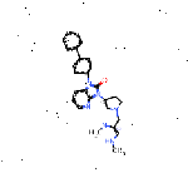 C=N/C(=C\NC)CN1CC[C@H](n2c(=O)n(-c3ccc(-c4ccccc4)cc3)c3cccnc32)C1